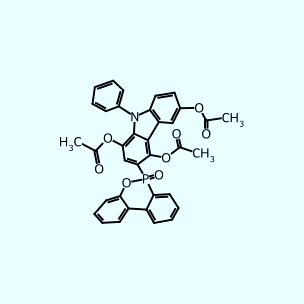 CC(=O)Oc1ccc2c(c1)c1c(OC(C)=O)c(P3(=O)Oc4ccccc4-c4ccccc43)cc(OC(C)=O)c1n2-c1ccccc1